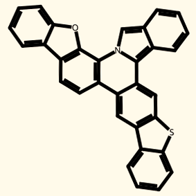 c1ccc2c(c1)cn1c2c2cc3sc4ccccc4c3cc2c2ccc3c4ccccc4oc3c21